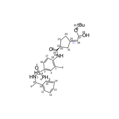 Cc1cc([SH](=O)(P)NC(C)c2ccccc2)ccc1NC(=O)[C@H]1CC/C(=C\C(O)OC(C)(C)C)C1